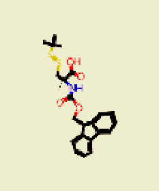 CC(C)(C)SSC[C@](C)(NC(=O)OCC1c2ccccc2-c2ccccc21)C(=O)O